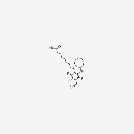 NSc1c(F)c(F)c(SCCCCCCCC(=O)O)c(NC2CCCCCCC2)c1F